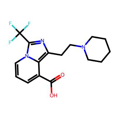 O=C(O)c1cccn2c(C(F)(F)F)nc(CCN3CCCCC3)c12